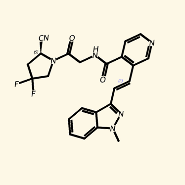 Cn1nc(/C=C/c2cnccc2C(=O)NCC(=O)N2CC(F)(F)C[C@H]2C#N)c2ccccc21